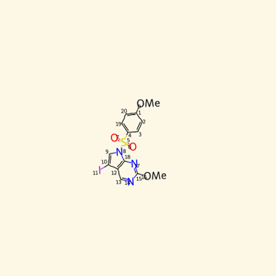 COc1ccc(S(=O)(=O)n2cc(I)c3cnc(OC)nc32)cc1